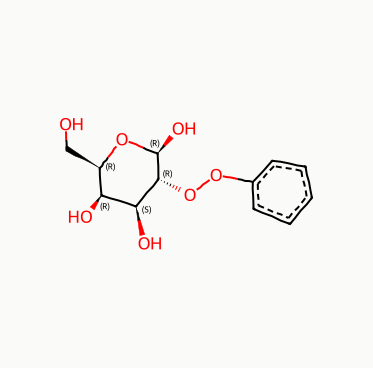 OC[C@H]1O[C@@H](O)[C@H](OOc2ccccc2)[C@@H](O)[C@H]1O